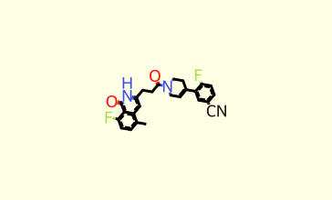 Cc1ccc(F)c2c(=O)[nH]c(CCC(=O)N3CC=C(c4cc(C#N)ccc4F)CC3)cc12